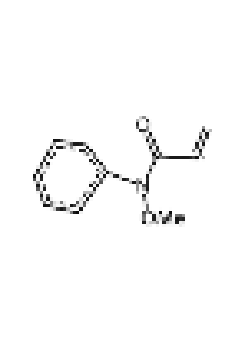 C=[C]C(=O)N(OC)c1ccccc1